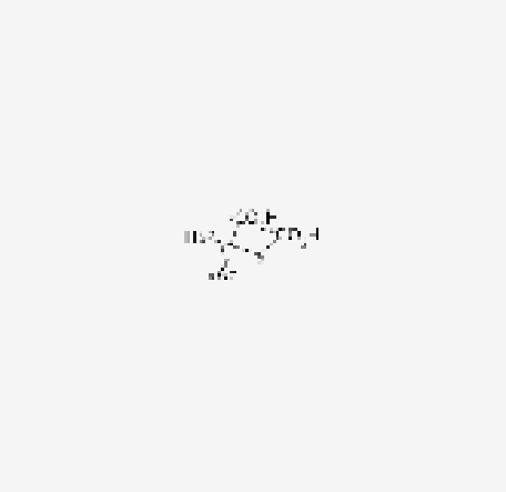 CC(=O)[C@@](S)(CC(=O)O)C(=O)O